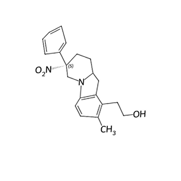 Cc1ccc2c(c1CCO)CC1CC[C@@](c3ccccc3)([N+](=O)[O-])CN21